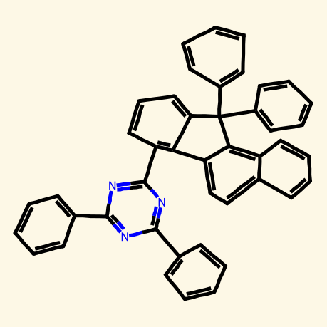 c1ccc(-c2nc(-c3ccccc3)nc(-c3cccc4c3-c3ccc5ccccc5c3C4(c3ccccc3)c3ccccc3)n2)cc1